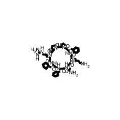 N=C(N)NCCC[C@@H]1NC(=O)[C@@H]2CCCN2C(=O)[C@H]2CCCN2C(=O)[C@H](Cc2ccccc2)NC(=O)[C@H](CCCCN)NC(=O)[C@H](CC(N)=O)NC(=O)[C@H](Cc2ccccc2)NC(=O)[C@H](Cc2ccccc2)NC1=O